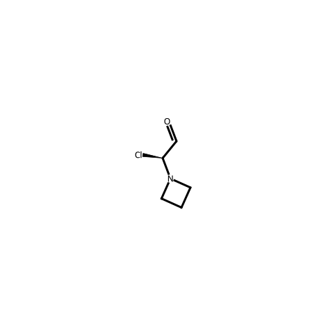 O=C[C@H](Cl)N1CCC1